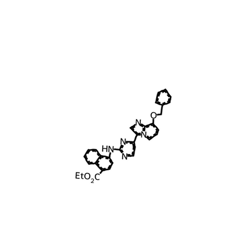 CCOC(=O)c1ccc(Nc2nccc(-c3cnc4c(OCc5ccccc5)cccn34)n2)c2ccccc12